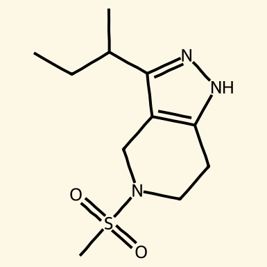 CCC(C)c1n[nH]c2c1CN(S(C)(=O)=O)CC2